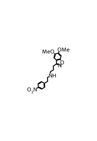 COc1cc2onc(CCCNCCc3ccc([N+](=O)[O-])cc3)c2cc1OC